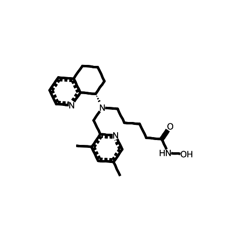 Cc1cnc(CN(CCCCC(=O)NO)[C@H]2CCCc3cccnc32)c(C)c1